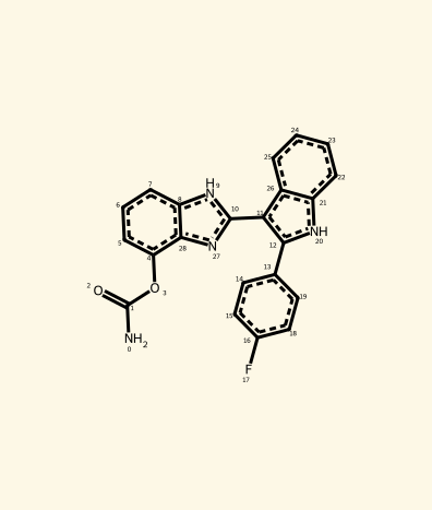 NC(=O)Oc1cccc2[nH]c(-c3c(-c4ccc(F)cc4)[nH]c4ccccc34)nc12